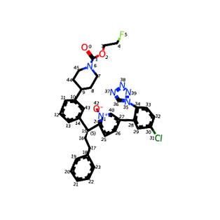 O=C(OCCF)N1CCC(c2cccc([C@H](CCc3ccccc3)c3ccc(-c4cc(Cl)ccc4-n4cnnn4)c[n+]3[O-])c2)CC1